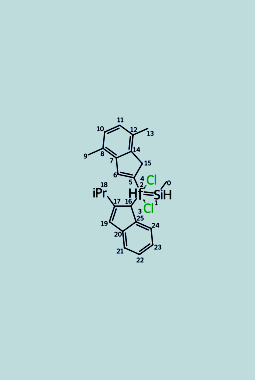 C[SiH]=[Hf]([Cl])([Cl])([C]1=Cc2c(C)ccc(C)c2C1)[CH]1C(C(C)C)=Cc2ccccc21